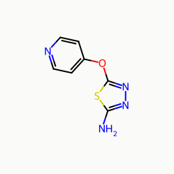 Nc1nnc(Oc2ccncc2)s1